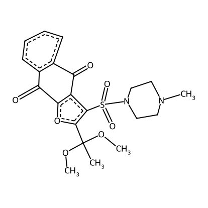 COC(C)(OC)c1oc2c(c1S(=O)(=O)N1CCN(C)CC1)C(=O)c1ccccc1C2=O